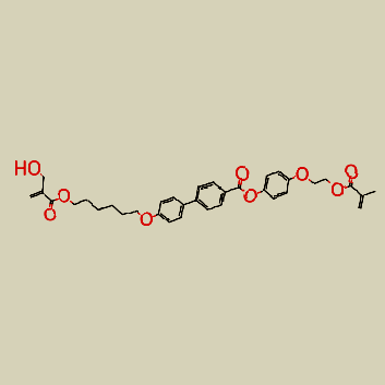 C=C(C)C(=O)OCCOc1ccc(OC(=O)c2ccc(-c3ccc(OCCCCCCOC(=O)C(=C)CO)cc3)cc2)cc1